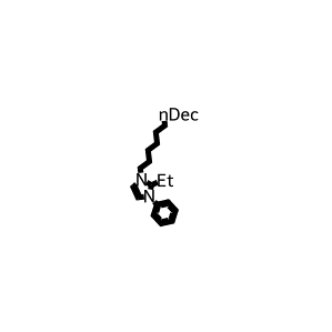 CCCCCCCCCCCCCCCCN1C=CN(c2ccccc2)C1CC